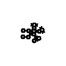 CC1(C)CCC(C)(C)c2cc(N3c4cc5c(cc4B4c6ccc(-c7ccccc7)cc6N(c6cccc(-c7ccccc7)c6)c6cc(N7c8ccccc8C8(C)CCCCC78C)cc3c64)C(C)(C)CCC5(C)C)ccc21